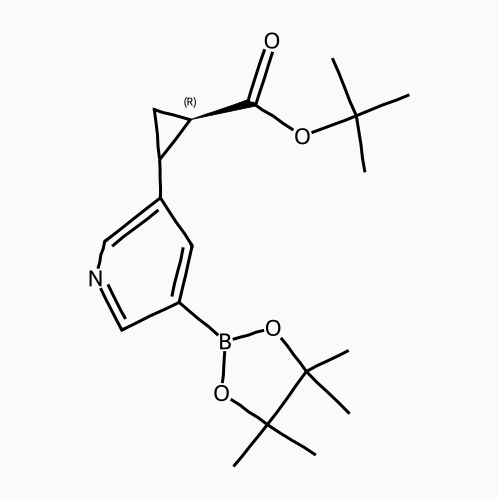 CC(C)(C)OC(=O)[C@@H]1CC1c1cncc(B2OC(C)(C)C(C)(C)O2)c1